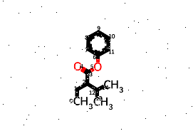 CCC(C(=O)Oc1ccccc1)C(C)C